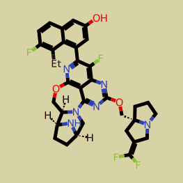 CCc1c(F)ccc2cc(O)cc(-c3nc4c5c(nc(OC[C@]67CCCN6CC(=C(F)F)C7)nc5c3F)N3C[C@H]5CC[C@H](N5)[C@H]3CO4)c12